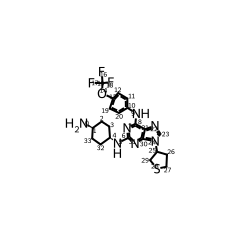 N[C@H]1CC[C@H](Nc2nc(Nc3ccc(OC(F)(F)F)cc3)c3ncn(C4CCSC4)c3n2)CC1